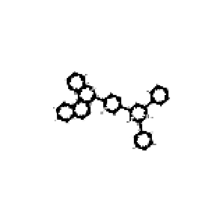 c1ccc(-c2cc(-c3ccc(-c4nc5ccccc5c5c4ccc4ccccc45)nc3)nc(-c3ccccc3)n2)cc1